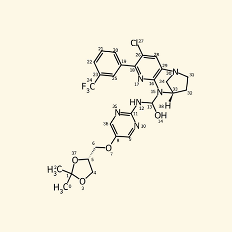 CC1(C)OC[C@@H](COc2cnc(NC(O)N3c4nc(-c5cccc(C(F)(F)F)c5)c(Cl)cc4N4CC[C@H]3C4)nc2)O1